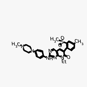 CCn1c(=O)c(-c2ccc(C)cc2S(C)(=O)=O)cc2cnc(Nc3ccc(N4CCN(C)CC4)cc3)nc21